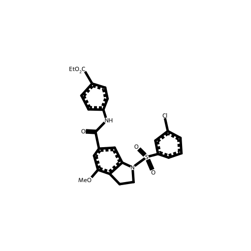 CCOC(=O)c1ccc(NC(=O)c2cc(OC)c3c(c2)N(S(=O)(=O)c2cccc(Cl)c2)CC3)cc1